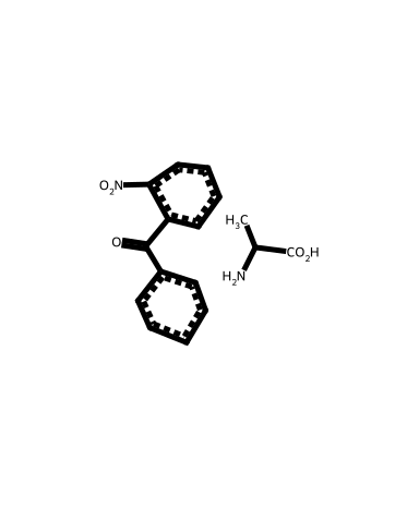 CC(N)C(=O)O.O=C(c1ccccc1)c1ccccc1[N+](=O)[O-]